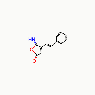 N=C1OC(=O)C=C1C=Cc1ccccc1